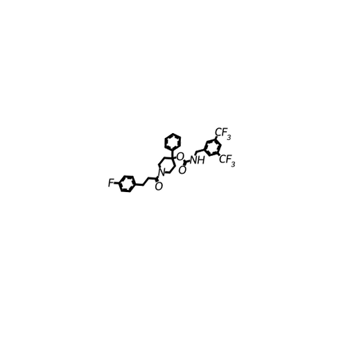 O=C(NCc1cc(C(F)(F)F)cc(C(F)(F)F)c1)OC1(c2ccccc2)CCN(C(=O)CCc2ccc(F)cc2)CC1